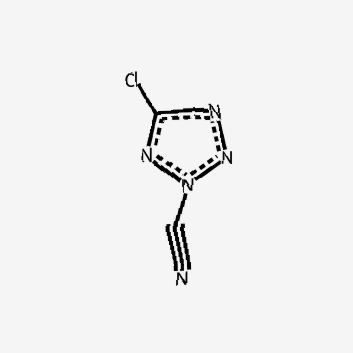 N#Cn1nnc(Cl)n1